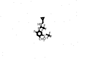 Cc1cc(F)c(/N=C(/NCC2CC2)C(F)(F)F)cc1[S+]([O-])CC(F)(F)F